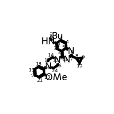 CCC(C)Nc1ccc2nc(C3CC3)nc(N3CCN(c4ccccc4OC)CC3)c2c1